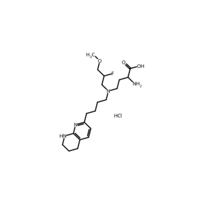 COCC(F)CN(CCCCc1ccc2c(n1)NCCC2)CCC(N)C(=O)O.Cl